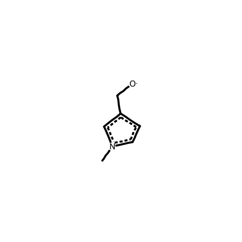 Cn1ccc(C[O])c1